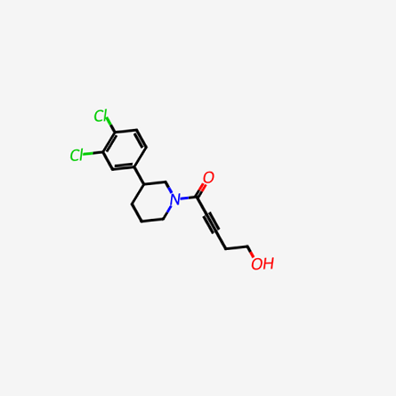 O=C(C#CCCO)N1CCCC(c2ccc(Cl)c(Cl)c2)C1